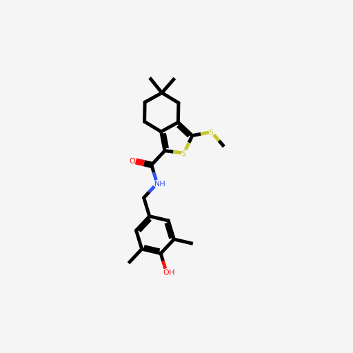 CSc1sc(C(=O)NCc2cc(C)c(O)c(C)c2)c2c1CC(C)(C)CC2